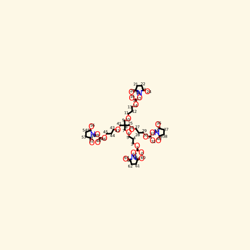 O=C(OCCCOCC(COCCCOC(=O)ON1C(=O)CCC1=O)(COCCCOC(=O)ON1C(=O)CCC1=O)COCCCOC(=O)ON1C(=O)CCC1=O)ON1C(=O)CCC1=O